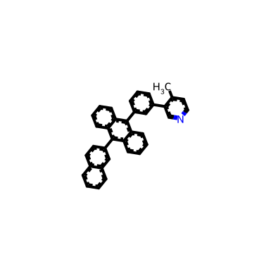 Cc1ccncc1-c1cccc(-c2c3ccccc3c(-c3ccc4ccccc4c3)c3ccccc23)c1